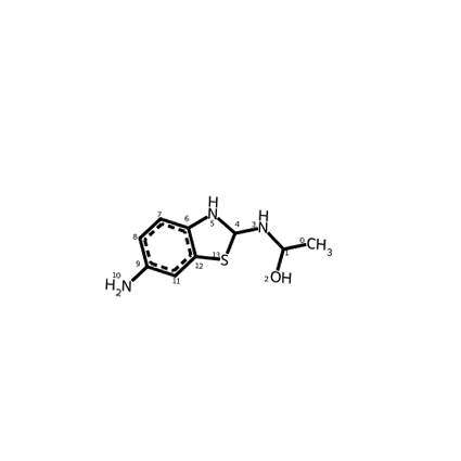 CC(O)NC1Nc2ccc(N)cc2S1